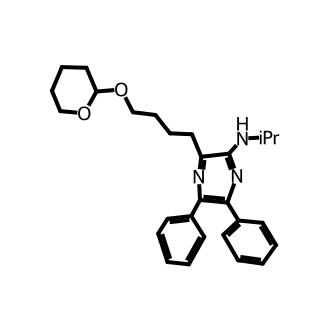 CC(C)Nc1nc(-c2ccccc2)c(-c2ccccc2)nc1CCCCOC1CCCCO1